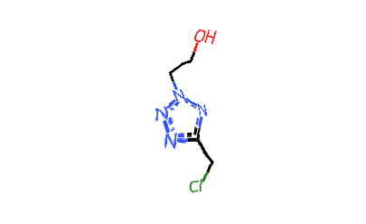 OCCn1nnc(CCl)n1